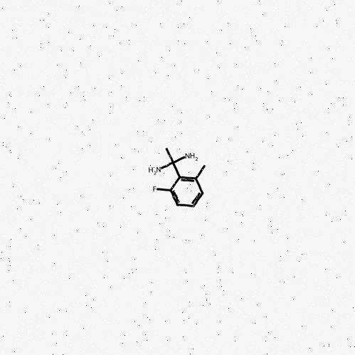 Cc1cccc(F)c1C(C)(N)N